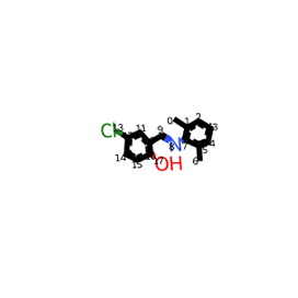 Cc1c[c]cc(C)c1/N=C/c1cc(Cl)ccc1O